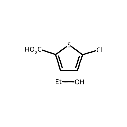 CCO.O=C(O)c1ccc(Cl)s1